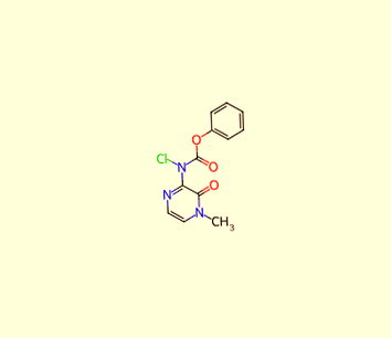 Cn1ccnc(N(Cl)C(=O)Oc2ccccc2)c1=O